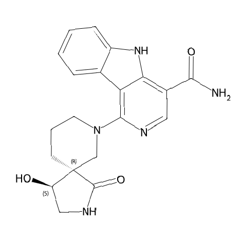 NC(=O)c1cnc(N2CCC[C@]3(C2)C(=O)NC[C@H]3O)c2c1[nH]c1ccccc12